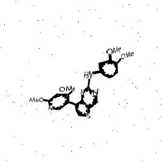 COc1cc(OC)c(-c2csc3cnc(Nc4ccc(OC)c(OC)c4)nc23)cn1